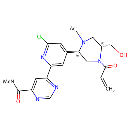 C=CC(=O)N1C[C@@H](c2cc(Cl)nc(-c3cc(C(=O)NC)ncn3)c2)N(C(C)=O)C[C@@H]1CO